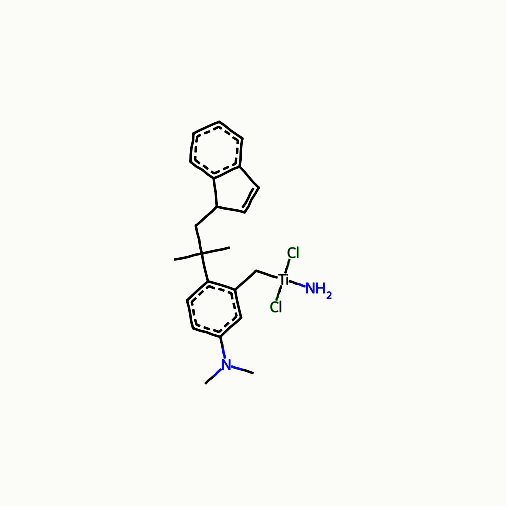 CN(C)c1ccc(C(C)(C)CC2C=Cc3ccccc32)c([CH2][Ti]([NH2])([Cl])[Cl])c1